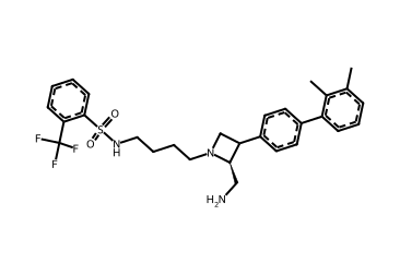 Cc1cccc(-c2ccc(C3CN(CCCCNS(=O)(=O)c4ccccc4C(F)(F)F)[C@@H]3CN)cc2)c1C